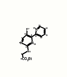 CCOC(=O)CSc1ncc(F)c(-c2ccccn2)n1